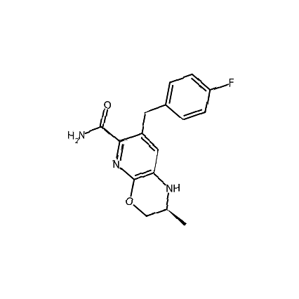 C[C@H]1COc2nc(C(N)=O)c(Cc3ccc(F)cc3)cc2N1